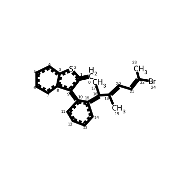 C=c1sc2ccccc2\c1=c1/cccc/c1=C(C)\C(C)=C\C=C(/C)Br